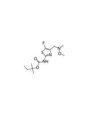 CCC(C)(C)OC(=O)Nc1nc(CN(C)OC)c(F)s1